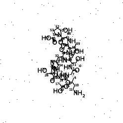 C[C@@H](O)[C@H](NC(=O)[C@H](CCCCN)NC(=O)[C@H](CC(=O)O)NC(=O)[C@@H](N)CO)C(=O)N[C@@H](Cc1c[nH]cn1)C(=O)N[C@H](C(=O)N[C@@H](CO)C(=O)N1CCC[C@H]1C(=O)O)[C@@H](C)O